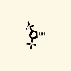 C[Si](C)(C)C1=CCC([Si](C)(C)C)=C1.[LiH]